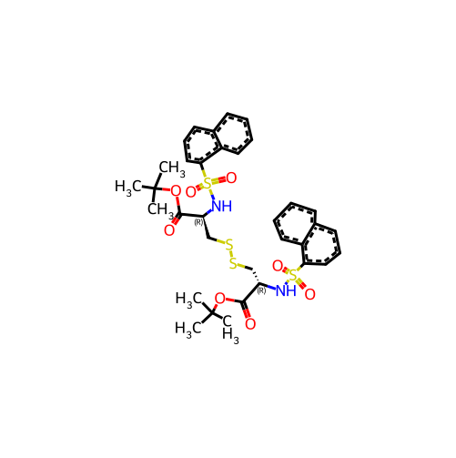 CC(C)(C)OC(=O)[C@H](CSSC[C@H](NS(=O)(=O)c1cccc2ccccc12)C(=O)OC(C)(C)C)NS(=O)(=O)c1cccc2ccccc12